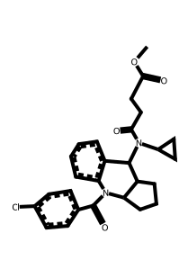 COC(=O)CCC(=O)N(C1CC1)C1c2ccccc2N(C(=O)c2ccc(Cl)cc2)C2CCCC21